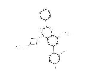 COc1cc(-c2ccc(F)cc2F)cc2c(N3CC(OC)C3)nc(-c3ccccc3)nc12